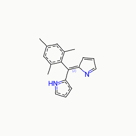 Cc1cc(C)c(/C(=C2\C=CC=N2)c2ccc[nH]2)c(C)c1